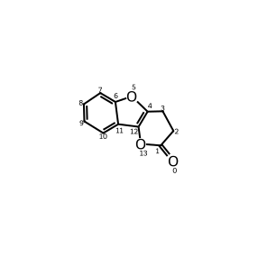 O=C1CCc2oc3ccccc3c2O1